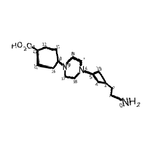 NCCC1CC(N2CCN(C3CCC(C(=O)O)CC3)CC2)C1